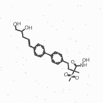 CC(CCc1ccc(-c2ccc(C=CCC(O)CO)cc2)cc1)(C(=O)NO)S(C)(=O)=O